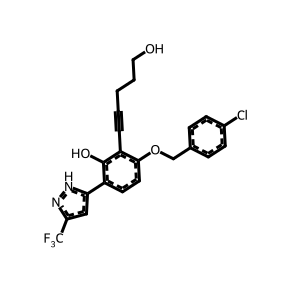 OCCCC#Cc1c(OCc2ccc(Cl)cc2)ccc(-c2cc(C(F)(F)F)n[nH]2)c1O